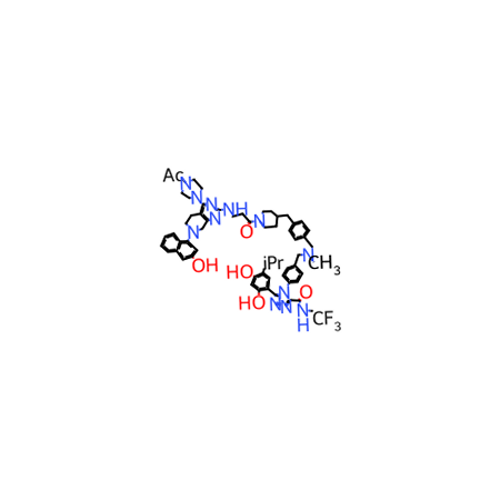 CC(=O)N1CCN(c2nc(NCCC(=O)N3CCC(Cc4ccc(CN(C)Cc5ccc(-n6c(C(=O)NCC(F)(F)F)nnc6-c6cc(C(C)C)c(O)cc6O)cc5)cc4)CC3)nc3c2CCN(c2cc(O)cc4ccccc24)C3)CC1